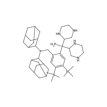 C[Si](C)(C)c1cc(CP(C2C3CC4CC(C3)CC2C4)C2C3CC4CC(C3)CC2C4)c(C(P)(C2CNCCN2)C2CNCCN2)cc1[Si](C)(C)C